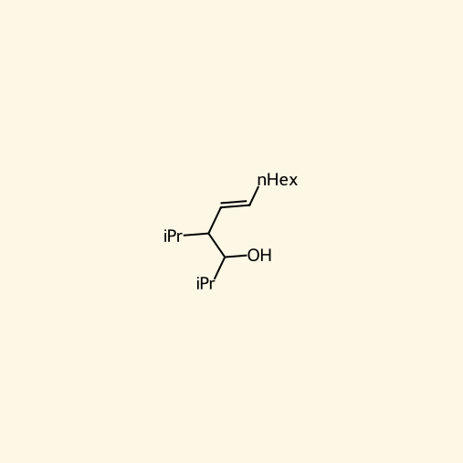 CCCCCCC=CC(C(C)C)C(O)C(C)C